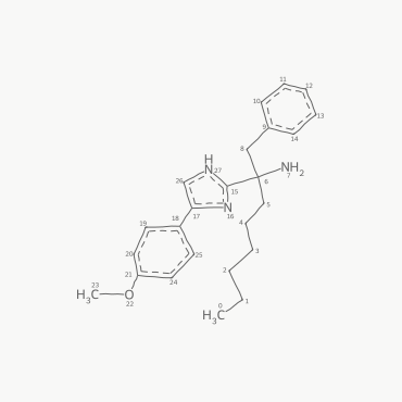 CCCCCCC(N)(Cc1ccccc1)c1nc(-c2ccc(OC)cc2)c[nH]1